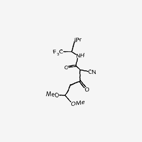 COC(CC(=O)C(C#N)C(=O)NC(C(C)C)C(F)(F)F)OC